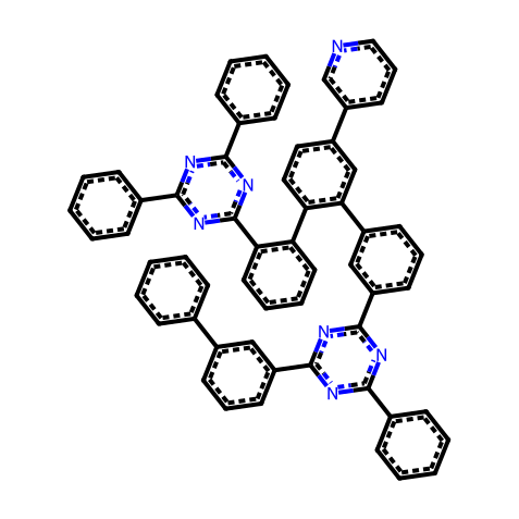 c1ccc(-c2cccc(-c3nc(-c4ccccc4)nc(-c4cccc(-c5cc(-c6cccnc6)ccc5-c5ccccc5-c5nc(-c6ccccc6)nc(-c6ccccc6)n5)c4)n3)c2)cc1